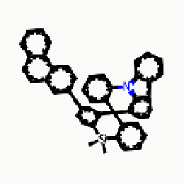 C[Si]1(C)c2ccccc2C2(c3ccccc3-n3c4ccccc4c4cccc2c43)c2cc(-c3ccc4c(ccc5ccccc54)c3)ccc21